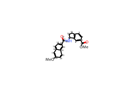 COC(=O)c1ccc2c(c1)C(NC(=O)c1ccc3cc(OC)ccc3c1)CC2